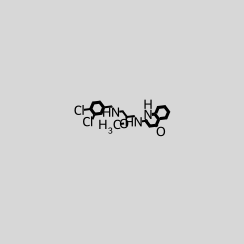 COC(CNCc1ccc(Cl)c(Cl)c1)CNc1cc(=O)c2ccccc2[nH]1